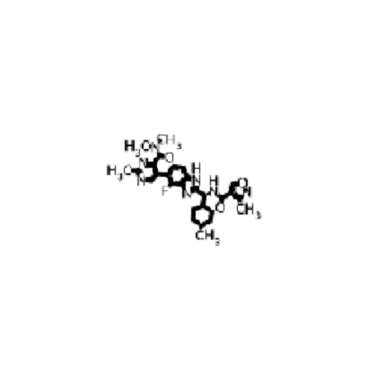 Cc1ncc(-c2ccc3[nH]c([C@@H](NC(=O)c4conc4C)C4CCC(C)CC4)nc3c2F)c(C(=O)N(C)C)n1